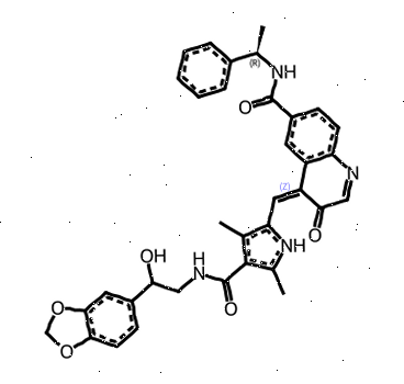 Cc1[nH]c(/C=C2\C(=O)C=Nc3ccc(C(=O)N[C@H](C)c4ccccc4)cc32)c(C)c1C(=O)NCC(O)c1ccc2c(c1)OCO2